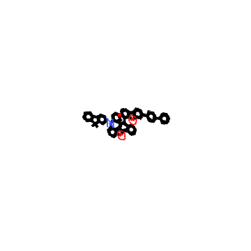 CC1(C)c2ccccc2-c2ccc(N(c3ccccc3)c3cccc4oc5c6ccccc6c(-c6cccc7c6oc6cc(-c8ccc(-c9ccccc9)cc8)ccc67)cc5c34)cc21